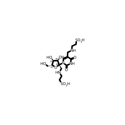 O=c1[nH]c(=O)n([C@]2(CNCCS(=O)(=O)O)O[C@H](CO)[C@@H](O)[C@H]2O)cc1CNCCS(=O)(=O)O